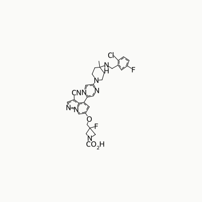 CC1(NCc2cc(F)ccc2Cl)CCN(c2cnc(-c3cc(OCC4(F)CN(C(=O)O)C4)cn4ncc(C#N)c34)cn2)CC1